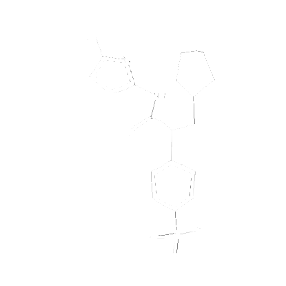 CCOC(=O)c1csc(NC(=O)C(CC2CCCC2)c2ccc(S(=O)(=O)F)cc2)n1